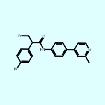 Cc1cc(-c2ccc(NC(=O)C(CC(C)C)c3ccc(Br)cc3)cc2)ccn1